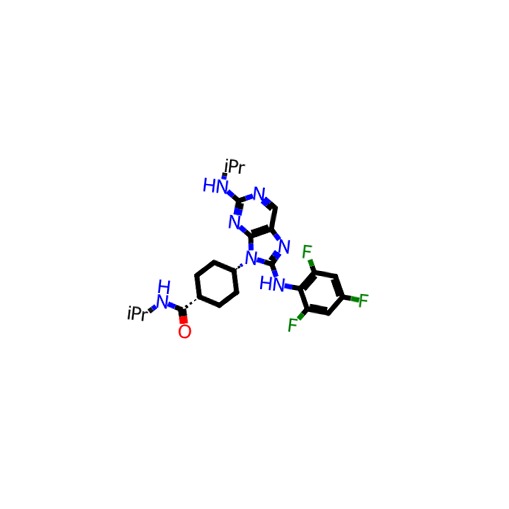 CC(C)Nc1ncc2nc(Nc3c(F)cc(F)cc3F)n([C@H]3CC[C@@H](C(=O)NC(C)C)CC3)c2n1